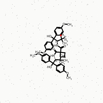 COc1ccc(C(O)(c2ccc(OC)cc2)[C@H](NC(=O)C2(C(=O)N[C@H](C(C)(C)C)C(O)(c3ccc(OC)cc3)c3ccc(OC)cc3)CCC2)C(C)(C)C)cc1